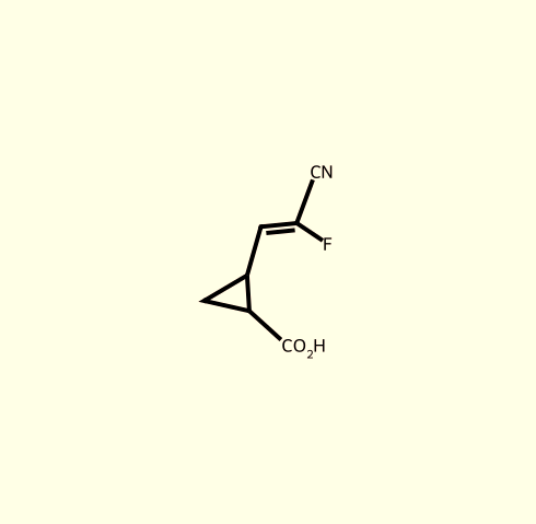 N#CC(F)=CC1CC1C(=O)O